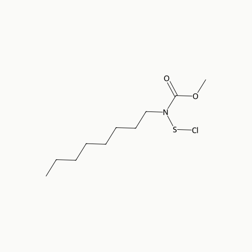 CCCCCCCCN(SCl)C(=O)OC